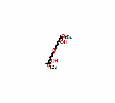 CC(C)(C)OC(C)(C)CC(O)CCCCOCCCCC(O)CC(C)(C)OC(C)(C)C